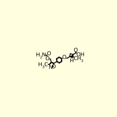 Cc1noc(-c2ccc(OCC34CC(C(=O)O)(C3)[C@@H]4C)cc2)c1COC(N)=O